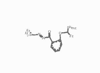 CCCCCC(CC)Oc1ccccc1C(=O)N=N[SiH2]CC